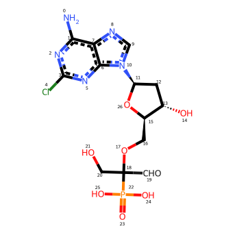 Nc1nc(Cl)nc2c1ncn2[C@H]1C[C@H](O)[C@@H](COC(C=O)(CO)P(=O)(O)O)O1